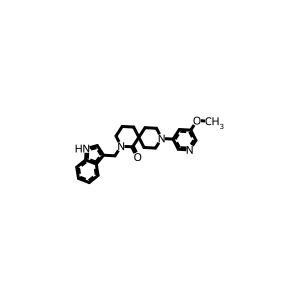 COc1cncc(N2CCC3(CCCN(Cc4c[nH]c5ccccc45)C3=O)CC2)c1